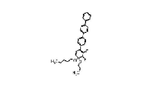 CCCCCOC1(OCCC)C=CC(c2ccc(-c3ccc(-c4ccccc4)cc3)cc2)=C(F)C1F